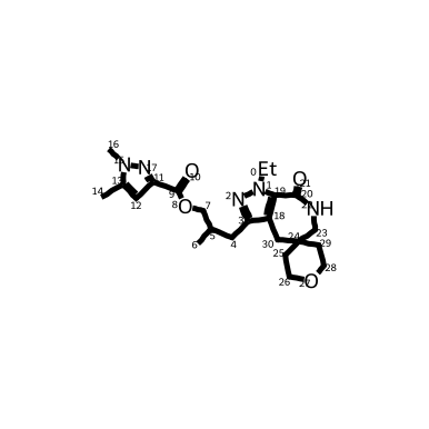 CCn1nc(CC(C)COC(=O)c2cc(C)n(C)n2)c2c1C(=O)NCC1(CCOCC1)C2